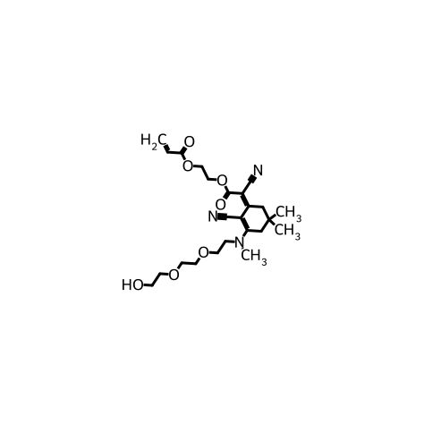 C=CC(=O)OCCOC(=O)/C(C#N)=C1/CC(C)(C)CC(N(C)CCOCCOCCO)=C1C#N